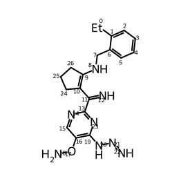 CCc1ccccc1CNC1=C(C(=N)c2ncc(ON)c(NN=N)n2)CCC1